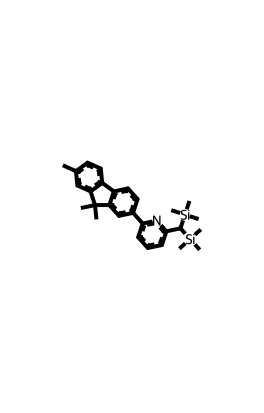 Cc1ccc2c(c1)C(C)(C)c1cc(-c3cccc(C([Si](C)(C)C)[Si](C)(C)C)n3)ccc1-2